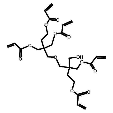 C=CC(=O)OCCC(CO)(COCC(CCOC(=O)C=C)(COC(=O)C=C)COC(=O)C=C)COC(=O)C=C